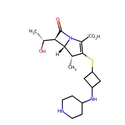 C[C@@H](O)[C@H]1C(=O)N2C(C(=O)O)=C(SC3CC(NC4CCNCC4)C3)[C@H](C)[C@H]12